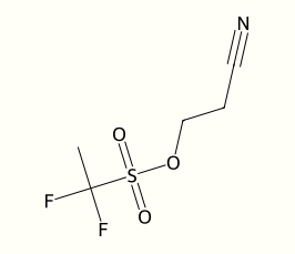 CC(F)(F)S(=O)(=O)OCCC#N